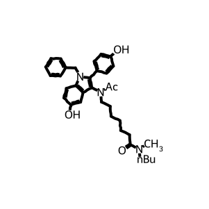 CCCCN(C)C(=O)CCCCCCN(C(C)=O)c1c(-c2ccc(O)cc2)n(Cc2ccccc2)c2ccc(O)cc12